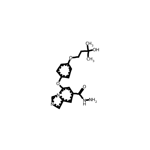 CC(C)(O)CCOc1ccc(Oc2cc(C(=O)NN)cc3cncn23)cc1